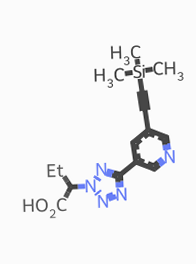 CCC(C(=O)O)n1nnc(-c2cncc(C#C[Si](C)(C)C)c2)n1